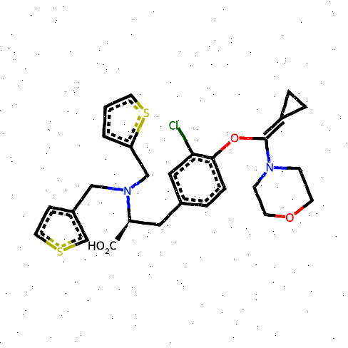 O=C(O)[C@H](Cc1ccc(OC(=C2CC2)N2CCOCC2)c(Cl)c1)N(Cc1ccsc1)Cc1cccs1